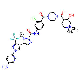 Cn1c(-c2cn(-c3ccc(N)cn3)nc2C(F)(F)F)cnc1C(=O)Nc1ccc(C(=O)N2CCN(C(=O)C3CC[N+](C)(C)CC3O)CC2)c(Cl)c1